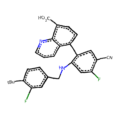 CC(C)(C)c1ccc(CNc2cc(F)c(C#N)cc2-c2ccc(C(=O)O)c3ncccc23)cc1F